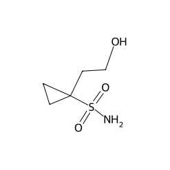 NS(=O)(=O)C1(CCO)CC1